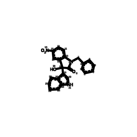 O=C1N(Cc2ccccc2)c2ccc([N+](=O)[O-])cc2C1(O)c1c[nH]c2ccccc12